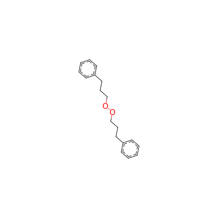 c1ccc(CCCOOCCCc2ccccc2)cc1